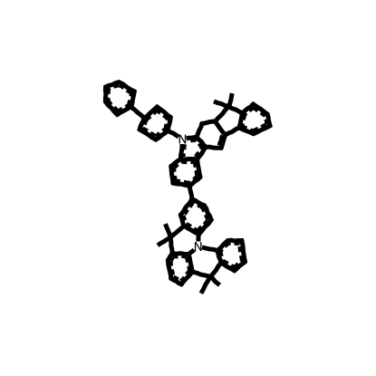 CC1(C)c2ccccc2N2c3ccc(-c4ccc5c(c4)c4c(n5-c5ccc(-c6ccccc6)cc5)CC5C(=C4)c4ccccc4C5(C)C)cc3C(C)(C)c3cccc1c32